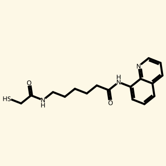 O=C(CS)NCCCCCC(=O)Nc1cccc2cccnc12